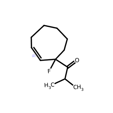 CC(C)C(=O)C1(F)/C=C\CCCCC1